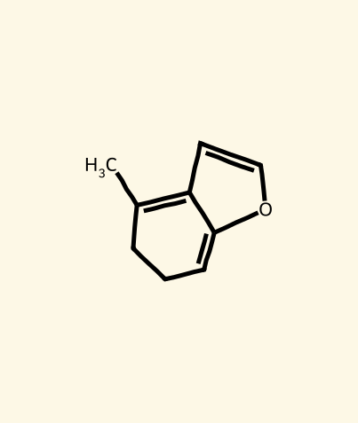 CC1=c2ccoc2=CCC1